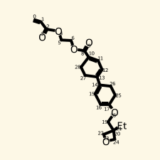 C=CC(=O)OCCOC(=O)C1=CC=C(C2=CC=C(OCC3(CC)COC3)CC2)CC1